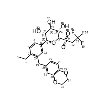 CCc1ccc([C@@H]2OC(S(=O)(=O)CC(F)(F)F)[C@@H](O)[C@H](O)[C@H]2O)cc1Cc1ccc2c(c1)OCCO2